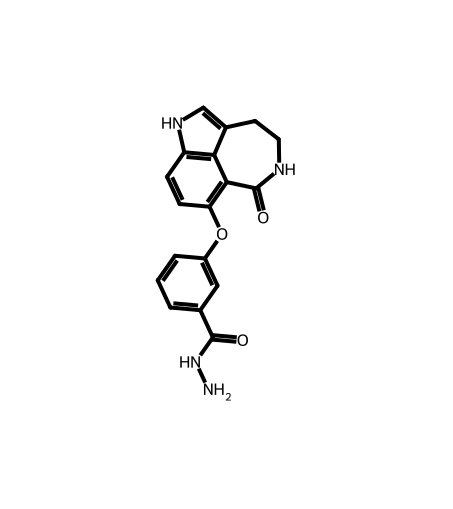 NNC(=O)c1cccc(Oc2ccc3[nH]cc4c3c2C(=O)NCC4)c1